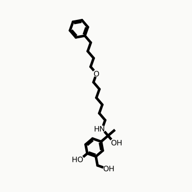 CC(O)(NCCCCCCOCCCCc1ccccc1)c1ccc(O)c(CO)c1